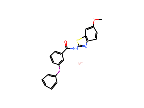 COc1ccc2nc(NC(=O)c3cccc([I+]c4ccccc4)c3)sc2c1.[Br-]